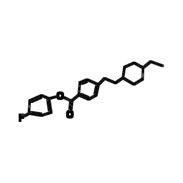 CCC1CCC(CCc2ccc(C(=O)Oc3ccc(F)cc3)cc2)CC1